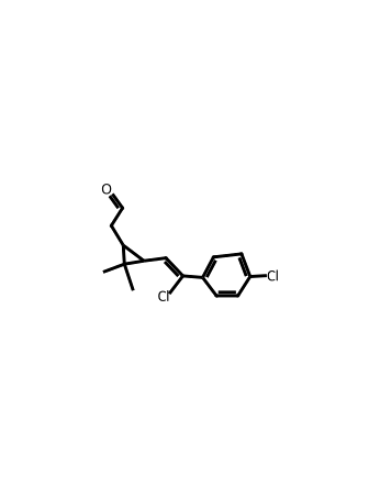 CC1(C)C(C=C(Cl)c2ccc(Cl)cc2)C1CC=O